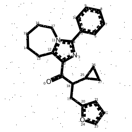 O=C(c1nc(-c2ccccc2)n2c1CCCCC2)C(Cc1ccco1)C1CC1